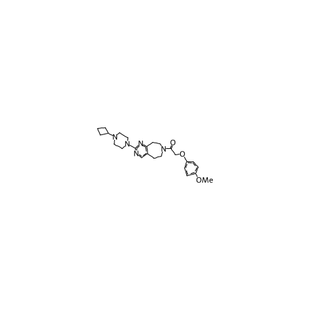 COc1ccc(OCC(=O)N2CCc3cnc(N4CCN(C5CCC5)CC4)nc3CC2)cc1